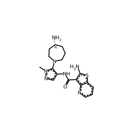 Cn1ncc(NC(=O)c2c(N)sc3cccnc23)c1N1CCC[C@@H](N)CC1